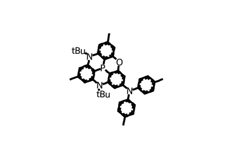 Cc1ccc(N(c2ccc(C)cc2)c2cc3c4c(c2)N(C(C)(C)C)c2cc(C)cc5c2P4c2c(cc(C)cc2N5C(C)(C)C)O3)cc1